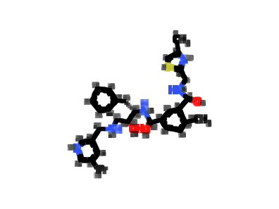 Cc1csc(CNC(=O)c2cc(C(=O)N[C@@H](Cc3ccccc3)[C@H](O)CNCc3cncc(C(C)C)c3)ccc2C)n1